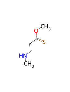 CNC=CC(=S)OC